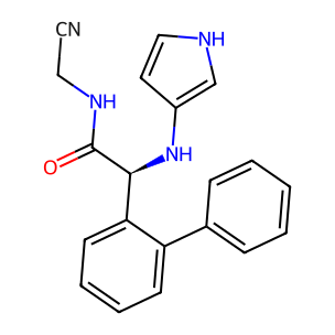 N#CCNC(=O)[C@@H](Nc1cc[nH]c1)c1ccccc1-c1ccccc1